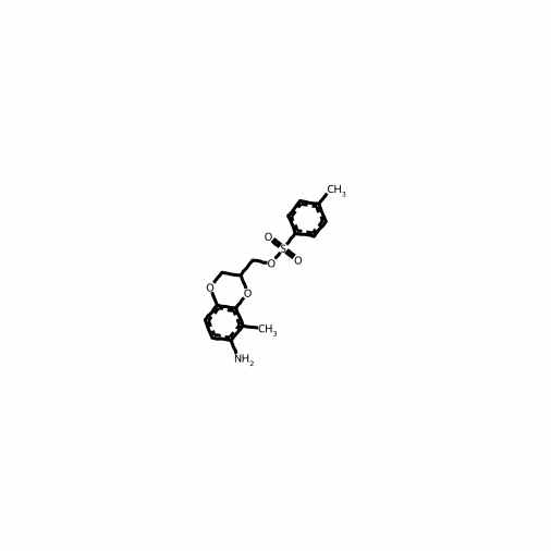 Cc1ccc(S(=O)(=O)OCC2COc3ccc(N)c(C)c3O2)cc1